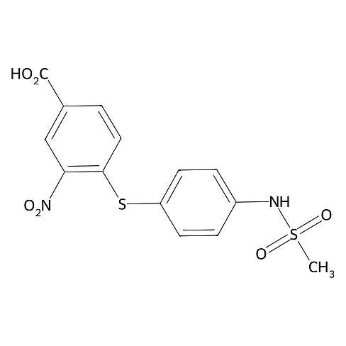 CS(=O)(=O)Nc1ccc(Sc2ccc(C(=O)O)cc2[N+](=O)[O-])cc1